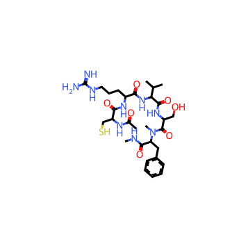 CNC(=O)C(Cc1ccccc1)N(C)C(=O)C(CO)NC(=O)C(NC(=O)C(CCCNC(=N)N)NC(=O)C(CS)NC(C)=O)C(C)C